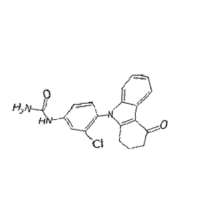 NC(=O)Nc1ccc(-n2c3c(c4ccccc42)C(=O)CCC3)c(Cl)c1